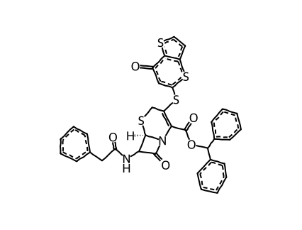 O=C(Cc1ccccc1)NC1C(=O)N2C(C(=O)OC(c3ccccc3)c3ccccc3)=C(Sc3cc(=O)c4sccc4s3)CS[C@H]12